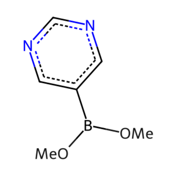 COB(OC)c1cncnc1